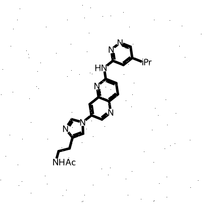 CC(=O)NCCc1cn(-c2cnc3ccc(Nc4cc(C(C)C)cnn4)nc3c2)cn1